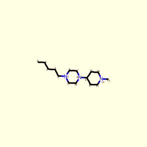 CCCCCN1CCN(C2CCN(C)CC2)CC1